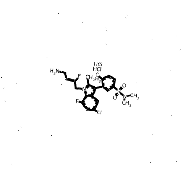 Cc1ccc(S(=O)(=O)N(C)C)cc1-c1c(C)n(CC(F)=CCN)c2c(F)cc(Cl)cc12.Cl.Cl